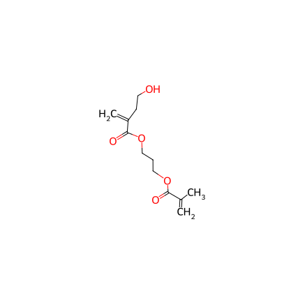 C=C(C)C(=O)OCCCOC(=O)C(=C)CCO